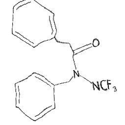 O=C(c1ccccc1)N(NC(F)(F)F)c1ccccc1